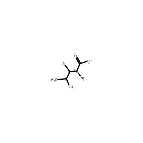 CC(C)C(Cl)[C@H](N)C(=O)O